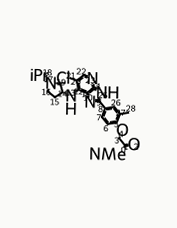 CNC(=O)COc1ccc(-c2nc3c(N[C@H]4CCN(C(C)C)C4)c(Cl)cnc3[nH]2)cc1C